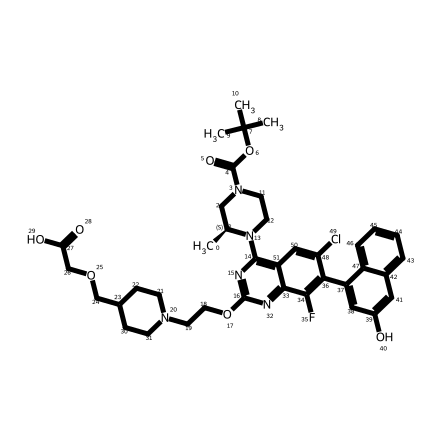 C[C@H]1CN(C(=O)OC(C)(C)C)CCN1c1nc(OCCN2CCC(COCC(=O)O)CC2)nc2c(F)c(-c3cc(O)cc4ccccc34)c(Cl)cc12